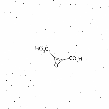 O=C(O)C1=C(C(=O)O)O1